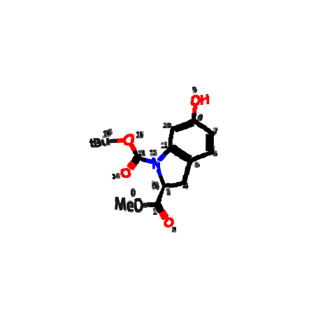 COC(=O)[C@@H]1Cc2ccc(O)cc2N1C(=O)OC(C)(C)C